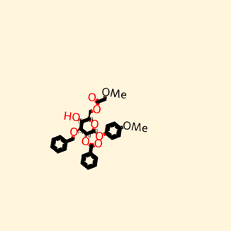 COCC(=O)OC[C@H]1O[C@@H](Oc2ccc(OC)cc2)[C@H](OC(=O)c2ccccc2)[C@@H](OCc2ccccc2)[C@@H]1O